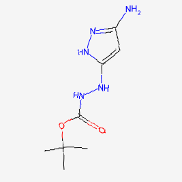 CC(C)(C)OC(=O)NNc1cc(N)n[nH]1